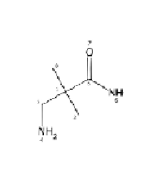 CC(C)(CN)C([NH])=O